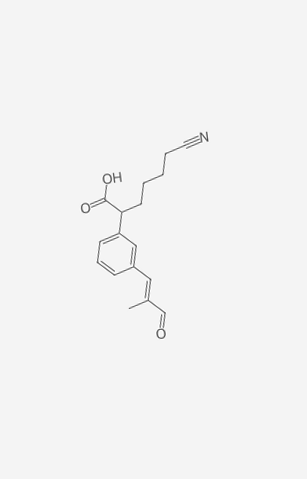 C/C(C=O)=C\c1cccc(C(CCCCC#N)C(=O)O)c1